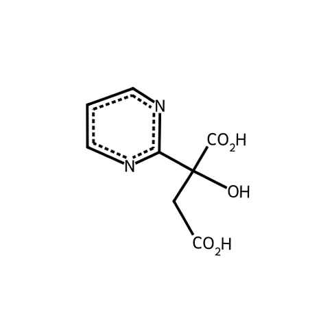 O=C(O)CC(O)(C(=O)O)c1ncccn1